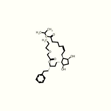 CCCOCC(=O)O[C@@H](CCc1ccccc1)CC[C@@H]1[C@@H](C/C=C\CCCC(=O)OC(C)C)[C@@H](O)C[C@H]1O